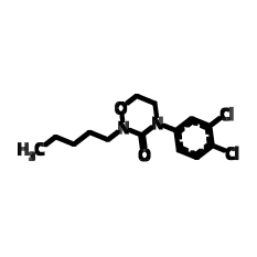 CCCCCN1OCCN(c2ccc(Cl)c(Cl)c2)C1=O